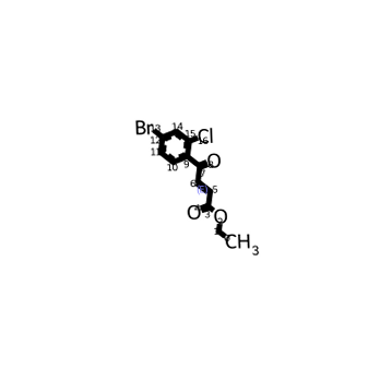 CCOC(=O)/C=C/C(=O)c1ccc(Br)cc1Cl